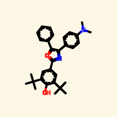 CN(C)c1ccc(-c2nc(-c3cc(C(C)(C)C)c(O)c(C(C)(C)C)c3)oc2-c2ccccc2)cc1